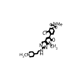 CNS(=O)(=O)c1ccc(-c2cc3cnc(NCCC4CCN(C)CC4)nc3n(C)c2=O)c(Cl)c1